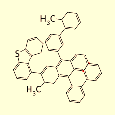 CC1CC=CC=C1c1cccc(-c2c3c(c(-c4ccccc4-c4ccccc4)c4ccccc24)CC(C)C(c2cccc4sc5c(c24)CCC=C5)=C3)c1